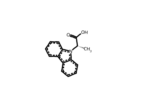 C[C@@H](C(=O)O)n1c2ccccc2c2ccccc21